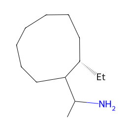 CC[C@H]1CCCCCCCC1C(C)N